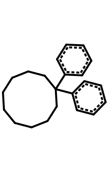 c1ccc(C2(c3ccccc3)CCCCCCCCC2)cc1